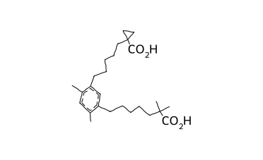 Cc1cc(C)c(CCCCCC2(C(=O)O)CC2)cc1CCCCCC(C)(C)C(=O)O